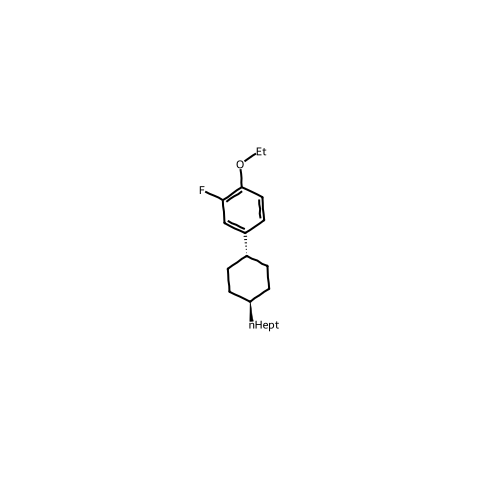 CCCCCCC[C@H]1CC[C@H](c2ccc(OCC)c(F)c2)CC1